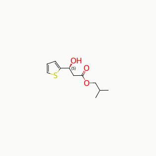 CC(C)COC(=O)C[C@H](O)c1cccs1